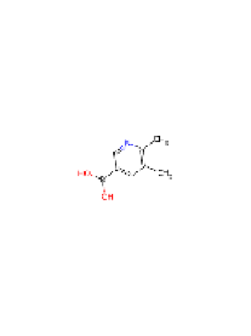 Cc1cc(B(O)O)cnc1C